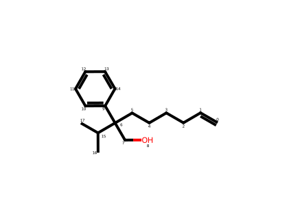 C=CCCCCC(CO)(c1ccccc1)C(C)C